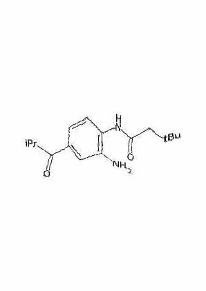 CC(C)C(=O)c1ccc(NC(=O)CC(C)(C)C)c(N)c1